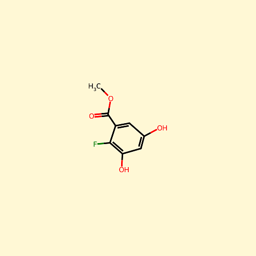 COC(=O)c1cc(O)cc(O)c1F